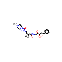 CC(CCNC(=O)N1CCN(C)CC1)CC(=O)NCC(=O)C(O)CCc1ccccc1